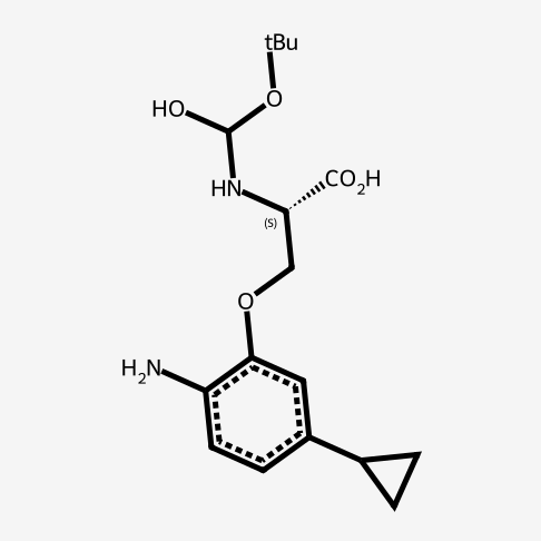 CC(C)(C)OC(O)N[C@@H](COc1cc(C2CC2)ccc1N)C(=O)O